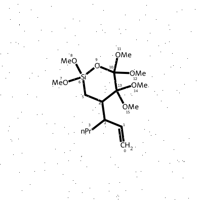 C=CC(CCC)C1C[Si](OC)(OC)OC(OC)(OC)C1(OC)OC